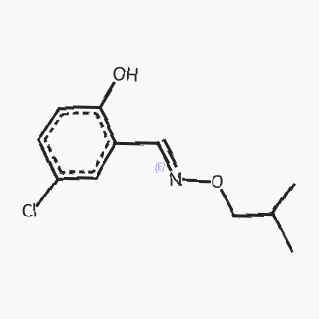 CC(C)CO/N=C/c1cc(Cl)ccc1O